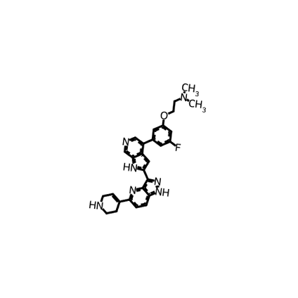 CN(C)CCOc1cc(F)cc(-c2cncc3[nH]c(-c4n[nH]c5ccc(C6=CCNCC6)nc45)cc23)c1